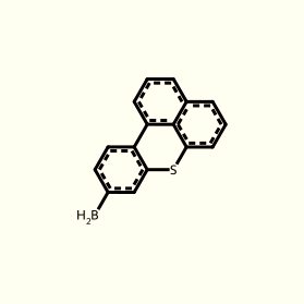 Bc1ccc2c(c1)Sc1cccc3cccc-2c13